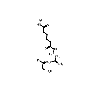 C=C(C)C(=O)OCC.CCCC(=O)CC(=O)O.NNC(=O)CCCCC(=O)NN